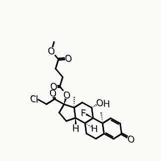 COC(=O)CCC(=O)O[C@]1(C(=O)CCl)CC[C@H]2[C@@H]3CCC4=CC(=O)C=C[C@]4(C)[C@@]3(F)[C@@H](O)C[C@@]21C